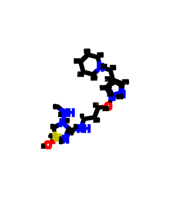 CNN1C[S+]([O-])N=C1NCCCOn1cc(CN2CCCCC2)cn1